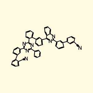 N#Cc1cccc(-c2cccc(-c3nc(-c4cccc(-c5ccccc5-c5nc(-c6ccccc6)nc(-c6cccc(-c7ccccc7C#N)c6)n5)c4)c4ccccc4n3)c2)c1